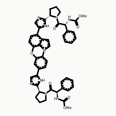 COC(=O)N[C@@H](C(=O)N1CCC[C@H]1c1ncc(-c2ccc3c(c2)Oc2ccc(-c4cnc([C@@H]5CCCN5C(=O)[C@H](NC(=O)OC)c5ccccc5)[nH]4)c4ccn-3c24)[nH]1)c1ccccc1